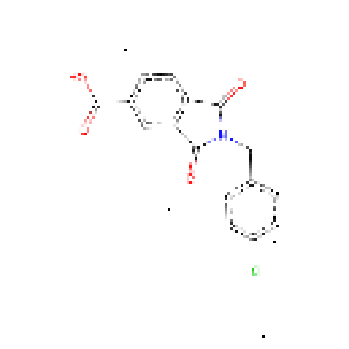 O=C(O)c1ccc2c(c1)C(=O)N(Cc1ccc(Cl)cc1)C2=O